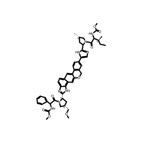 CC[C@H](C)C(NC(=O)OC)C(=O)N1C[C@@H](C)CC1c1ncc(-c2ccc3c(c2)COc2cc4c(ccc5nc([C@@H]6C[C@H](COC)CN6C(=O)C(NC(=O)OC)c6ccccc6)[nH]c54)cc2-3)[nH]1